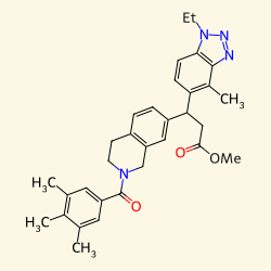 CCn1nnc2c(C)c(C(CC(=O)OC)c3ccc4c(c3)CN(C(=O)c3cc(C)c(C)c(C)c3)CC4)ccc21